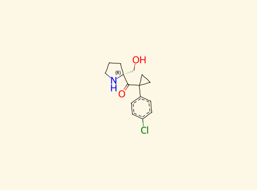 O=C(C1(c2ccc(Cl)cc2)CC1)[C@]1(CO)CCCN1